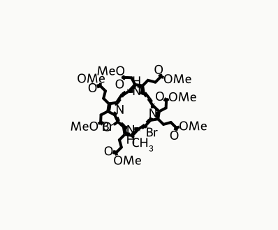 COC(=O)CCC1=C(CC(=O)OC)c2nc1cc1[nH]c(cc3nc(c(Br)c4[nH]c(c2Br)c(CCC(=O)OC)c4C)C(CCC(=O)OC)=C3CC(=O)OC)c(CCC(=O)OC)c1CC(=O)OC